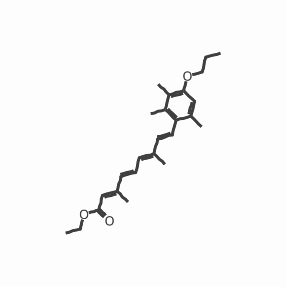 CCCOc1cc(C)c(/C=C/C(C)=C/C=C/C(C)=C/C(=O)OCC)c(C)c1C